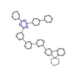 c1ccc(-c2ccc(-c3nc(-c4ccccc4)nc(-c4cccc(-c5cccc(-c6cccc(-c7ccc8c(c7)-c7ccccc7C87CCCCC7)c6)c5)c4)n3)cc2)cc1